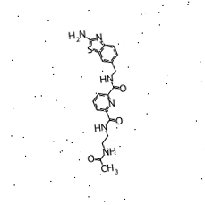 CC(=O)NCCNC(=O)c1cccc(C(=O)NCc2ccc3nc(N)sc3c2)n1